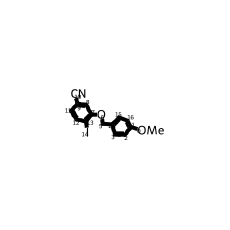 COc1ccc(COc2cc(C#N)ccc2I)cc1